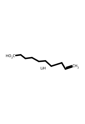 C=CCCCCCCCC(=O)O.[LiH]